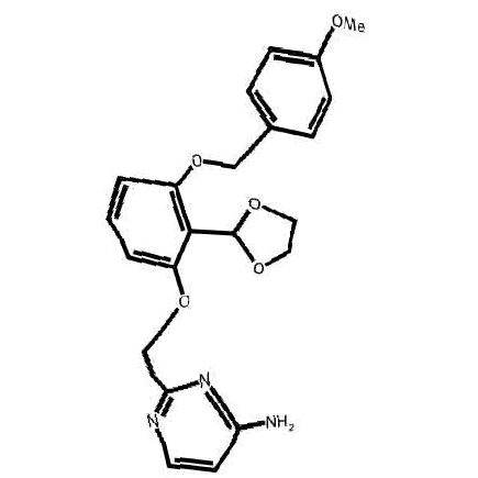 COc1ccc(COc2cccc(OCc3nccc(N)n3)c2C2OCCO2)cc1